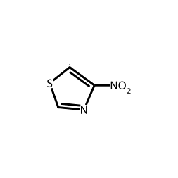 O=[N+]([O-])c1[c]scn1